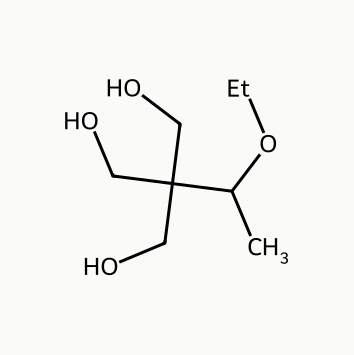 CCOC(C)C(CO)(CO)CO